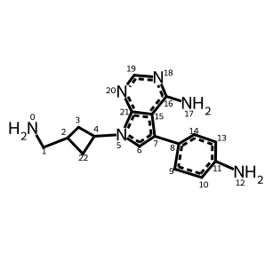 NCC1CC(n2cc(-c3ccc(N)cc3)c3c(N)ncnc32)C1